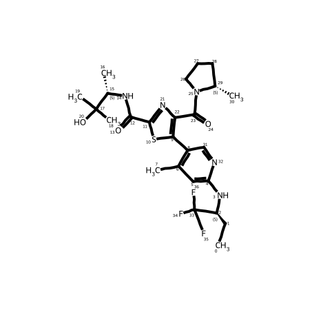 CC[C@H](Nc1cc(C)c(-c2sc(C(=O)N[C@@H](C)C(C)(C)O)nc2C(=O)N2CCC[C@@H]2C)cn1)C(F)(F)F